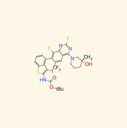 CC(C)(C)OC(=O)Nc1sc2cccc(-c3c(C(F)(F)F)cc4c(N5CCC[C@@](C)(O)C5)nc(F)nc4c3F)c2c1I